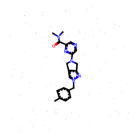 Cc1ccc(Cn2cc3c(n2)CN(c2cncc(C(=O)N(C)C)n2)C3)cc1